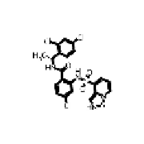 C[C@@H](NC(=O)c1ccc(Cl)cc1NS(=O)(=O)C1=CC=CN2SNC=C12)c1ccc(Cl)cc1Cl